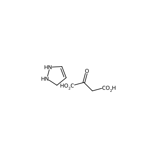 C1=CNNC1.O=C(O)CC(=O)C(=O)O